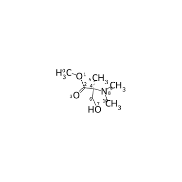 COC(=O)[C@](C)(CO)N(C)C